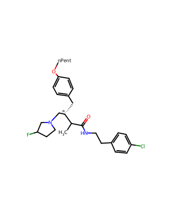 CCCCCOc1ccc(C[C@@H](CN2CCC(F)C2)C(C)C(=O)NCCc2ccc(Cl)cc2)cc1